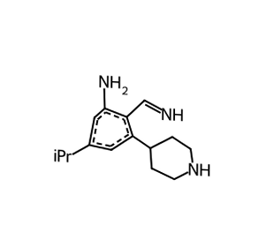 CC(C)c1cc(N)c(C=N)c(C2CCNCC2)c1